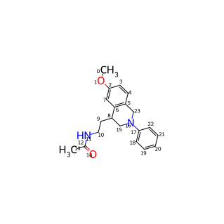 COc1ccc2c(c1)C(CCNC(C)=O)CN(c1ccccc1)C2